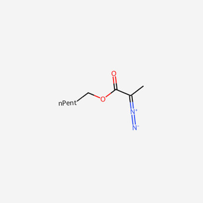 CCCCCCOC(=O)C(C)=[N+]=[N-]